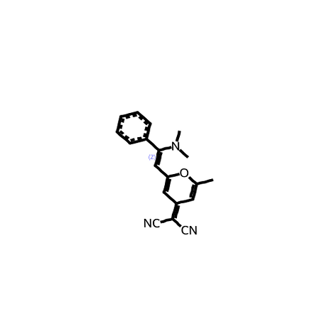 CC1=CC(=C(C#N)C#N)C=C(/C=C(/c2ccccc2)N(C)C)O1